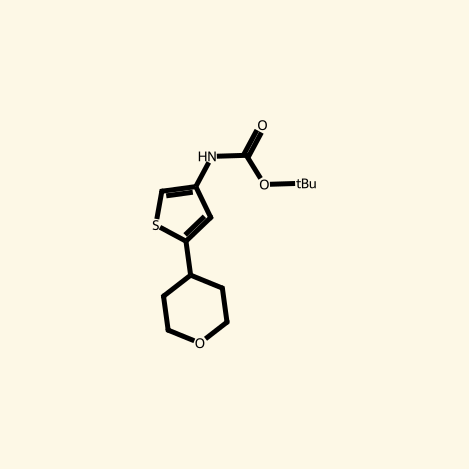 CC(C)(C)OC(=O)Nc1csc(C2CCOCC2)c1